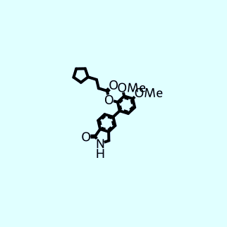 COc1ccc(-c2ccc3c(c2)CNC3=O)c(OC(=O)CCC2CCCC2)c1OC